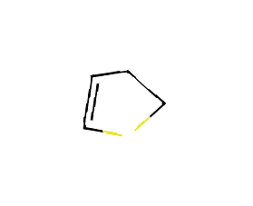 [CH]1C=CSC1